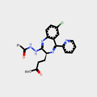 COC(=O)CC[C@@H]1N=C(c2ccccn2)c2cc(Cl)ccc2N=C1NNC(=O)C(C)C